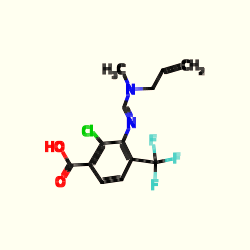 C=CCN(C)C=Nc1c(C(F)(F)F)ccc(C(=O)O)c1Cl